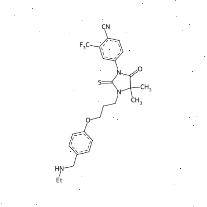 CCNCc1ccc(OCCCN2C(=S)N(c3ccc(C#N)c(C(F)(F)F)c3)C(=O)C2(C)C)cc1